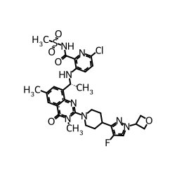 Cc1cc([C@@H](C)Nc2ccc(Cl)nc2C(=O)NS(C)(=O)=O)c2nc(N3CCC(c4nn(C5COC5)cc4F)CC3)n(C)c(=O)c2c1